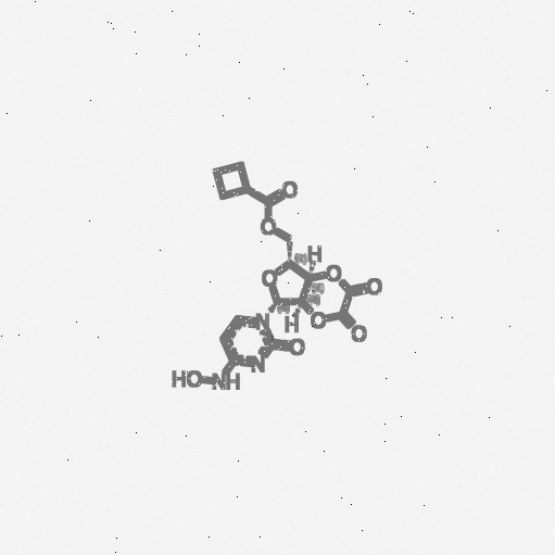 O=C1O[C@@H]2[C@H](OC1=O)[C@@H](COC(=O)C1CCC1)O[C@H]2n1ccc(NO)nc1=O